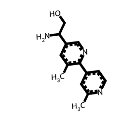 Cc1cc(-c2ncc(C(N)CO)cc2C)ccn1